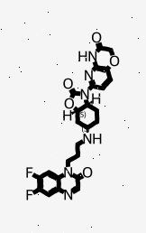 O=C1COc2ccc(N3C(=O)O[C@H]4C[C@@H](NCCCn5c(=O)cnc6cc(F)c(F)cc65)CC[C@@H]43)nc2N1